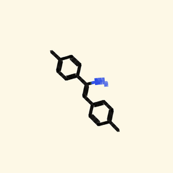 Cc1ccc(C=C(N)c2ccc(C)cc2)cc1